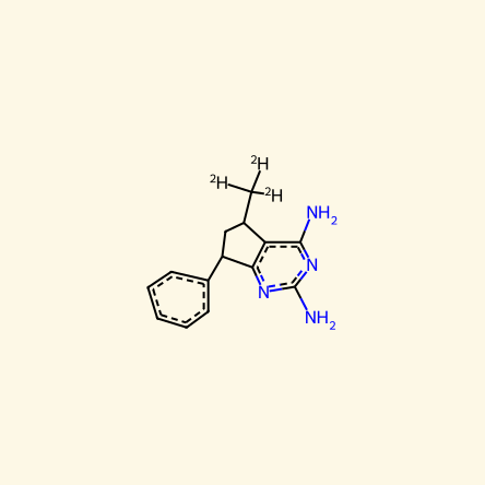 [2H]C([2H])([2H])C1CC(c2ccccc2)c2nc(N)nc(N)c21